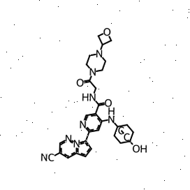 N#Cc1cnn2c(-c3cc(NC45CCC(O)(CC4)CC5)c(C(=O)NCC(=O)N4CCN(C5COC5)CC4)cn3)ccc2c1